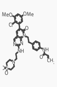 C=CC(=O)Nc1ccc(CCn2c(=O)c(-c3cc(OC)cc(OC)c3Cl)cc3cnc(NCCN4CCS(=O)(=O)CC4)nc32)cc1